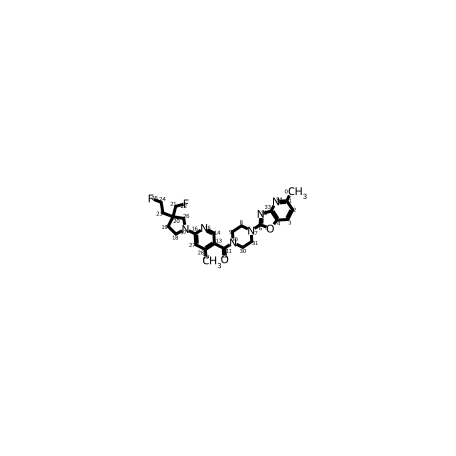 Cc1ccc2oc(N3CCN(C(=O)c4cnc(N5CCC(CF)(CCF)C5)cc4C)CC3)nc2n1